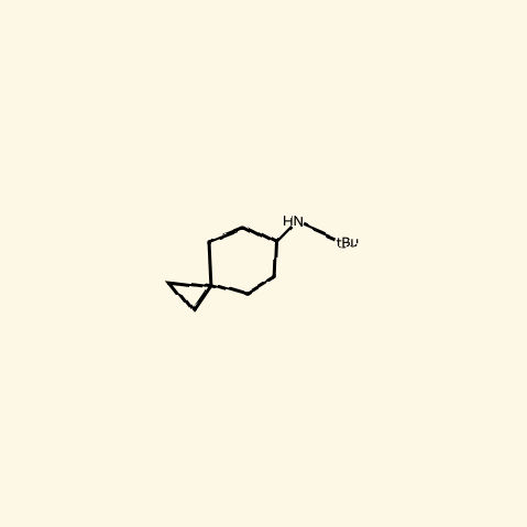 CC(C)(C)NC1CCC2(CC1)CC2